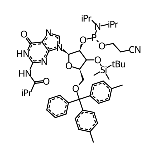 Cc1ccc(C(OC[C@H]2O[C@@H](n3cnc4c(=O)[nH]c(NC(=O)C(C)C)nc43)[C@@H](OP(OCCC#N)N(C(C)C)C(C)C)C2O[Si](C)(C)C(C)(C)C)(c2ccccc2)c2ccc(C)cc2)cc1